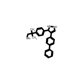 CC(C)(C)CC(C)(C)c1ccc(C2NNC=C2c2ccc(-c3ccccc3)cc2)cc1